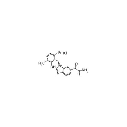 Cc1ccc(C(C)C)c(C=[N+]2C=Nc3ccc(C(=O)NN)cc32)c1O.Cl